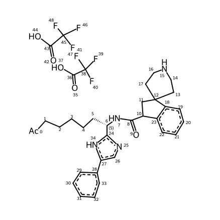 CC(=O)CCCCC[C@H](NC(=O)C1CC2(CCNCC2)c2ccccc21)c1ncc(-c2ccccc2)[nH]1.O=C(O)C(F)(F)F.O=C(O)C(F)(F)F